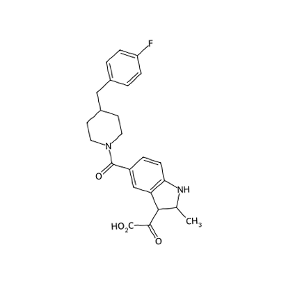 CC1Nc2ccc(C(=O)N3CCC(Cc4ccc(F)cc4)CC3)cc2C1C(=O)C(=O)O